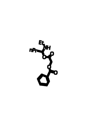 CCCC(NCC)OC(=O)COC(=O)c1ccccc1